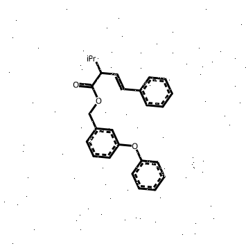 CC(C)C(C=Cc1ccccc1)C(=O)OCc1cccc(Oc2ccccc2)c1